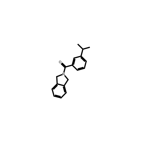 CC(C)c1cccc(C(=O)N2Cc3ccccc3C2)c1